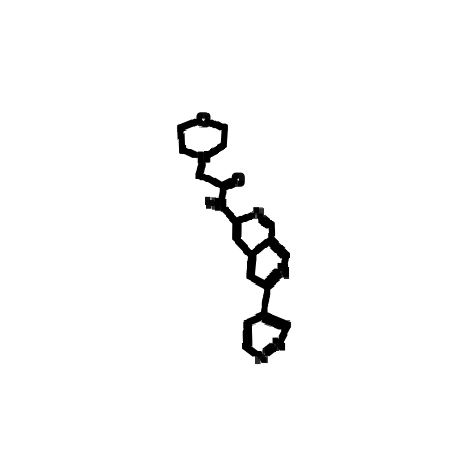 O=C(CN1CCOCC1)Nc1cc2cc(-c3ccnnc3)ncc2cn1